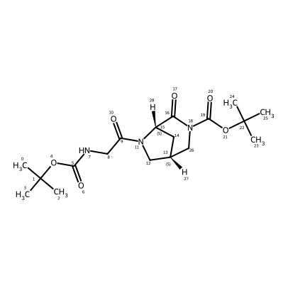 CC(C)(C)OC(=O)NCC(=O)N1C[C@@H]2C[C@H]1C(=O)N(C(=O)OC(C)(C)C)C2